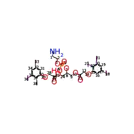 NCCOP(=O)(O)OC(COC(=O)COc1cc(I)cc(I)c1I)COC(=O)COc1cc(I)cc(I)c1I